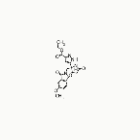 CCOC(=O)c1cc([C@]2(CN3Cc4ccc(OC)cc4C3=O)NC(=O)CC2=O)[nH]n1